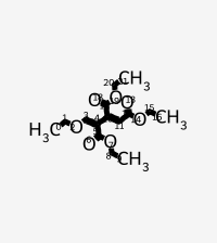 CCOC=C(C(=O)OCC)C(=CC(=O)OCC)C(=O)OCC